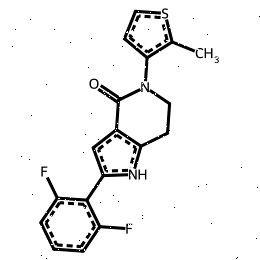 Cc1sccc1N1CCc2[nH]c(-c3c(F)cccc3F)cc2C1=O